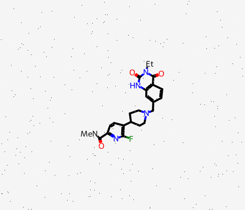 CCn1c(=O)[nH]c2cc(CN3CCC(c4ccc(C(=O)NC)nc4F)CC3)ccc2c1=O